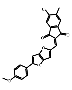 COc1ccc(-c2cc3oc(/C=C4/C(=O)c5cc(C)c(Cl)cc5C4=O)cc3s2)cc1